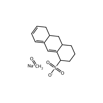 C=O.O=S(=O)([O-])C1CCCC2CC3CC=CC=C3C=C21.[Na+]